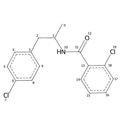 CC(Cc1ccc(Cl)cc1)NC(=O)c1ccccc1Cl